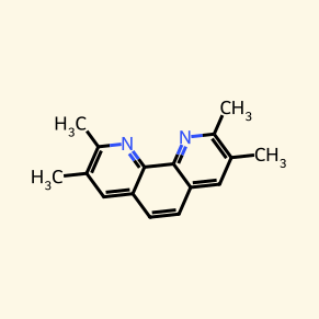 Cc1cc2ccc3cc(C)c(C)nc3c2nc1C